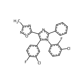 Cc1noc(-c2nc(-c3ccccc3)n(-c3cccc(Cl)c3F)c2-c2ccc(F)c(Cl)c2)n1